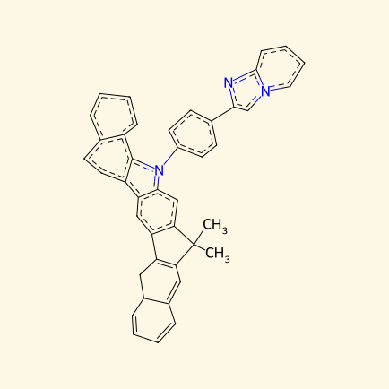 CC1(C)C2=C(CC3C=CC=CC3=C2)c2cc3c4ccc5ccccc5c4n(-c4ccc(-c5cn6ccccc6n5)cc4)c3cc21